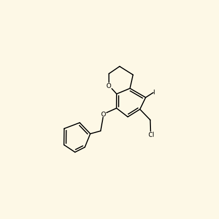 ClCc1cc(OCc2ccccc2)c2c(c1I)CCCO2